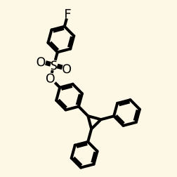 O=S(=O)(Oc1ccc(C2C(c3ccccc3)C2c2ccccc2)cc1)c1ccc(F)cc1